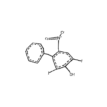 O=[N+]([O-])c1cc(I)c(O)c(I)c1-c1ccccc1